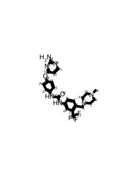 CN1CCN(Cc2ccc(NC(=O)Nc3ccc(Oc4ccnc(N)n4)cc3)cc2C(F)(F)F)CC1